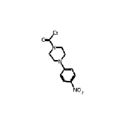 CCC(=O)N1CCN(c2ccc([N+](=O)[O-])cc2)CC1